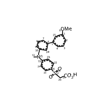 COc1cccc(-c2cccc(N(C)c3ccc(S(=O)(=O)CC(=O)O)cc3)c2)c1